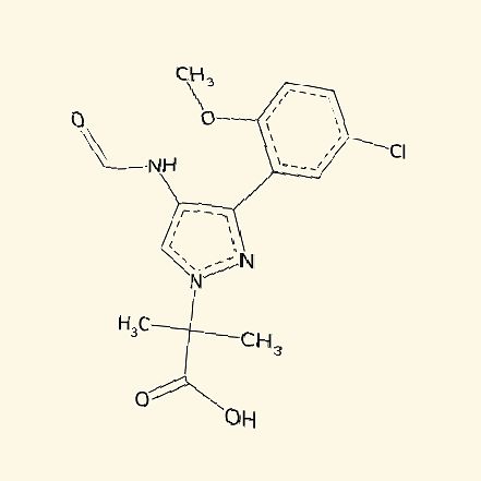 COc1ccc(Cl)cc1-c1nn(C(C)(C)C(=O)O)cc1NC=O